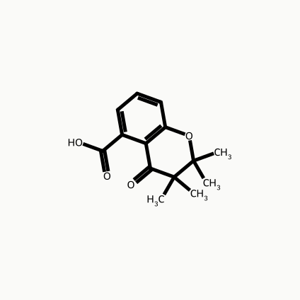 CC1(C)Oc2cccc(C(=O)O)c2C(=O)C1(C)C